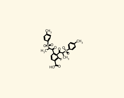 Cc1ccc(S(=O)(=O)C(C)C(=O)c2ccc(C(=O)O)c(F)c2C(=O)C(C)S(=O)(=O)c2ccc(C)cc2)cc1